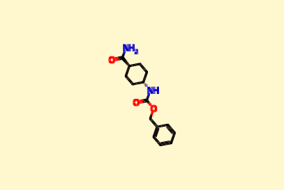 NC(=O)[C@H]1CC[C@H](NC(=O)OCc2ccccc2)CC1